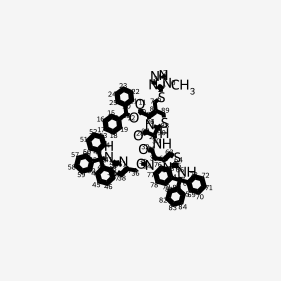 Cn1nnnc1SCC1=C(C(=O)OC(c2ccccc2)c2ccccc2)N2C(=O)C(NC(=O)/C(=N\OCc3csc(NC(c4ccccc4)(c4ccccc4)c4ccccc4)n3)c3csc(NC(c4ccccc4)(c4ccccc4)c4ccccc4)n3)[C@H]2SC1